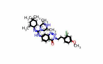 COc1ccc(CCn2nnc3cc(N/C(=N/C4CCC(C)(C)C[C@@H]4C)N4C[C@@H](C)N[C@@H](C)C4)ccc3c2=O)c(F)c1